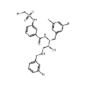 CCc1cccc(CNC[C@H](O)[C@H](Cc2cc(F)cc(F)c2)NC(=O)c2cccc(NS(=O)(=O)CC(C)C)c2)c1